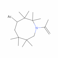 C=C(C)N1CC(C)(C)C(C)(C)CC(C(C)=O)C(C)(C)C1(C)C